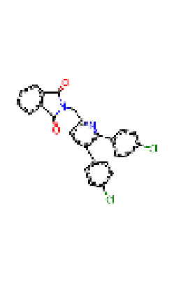 O=C1c2ccccc2C(=O)N1Cc1ccc(-c2ccc(Cl)cc2)c(-c2ccc(Cl)cc2)n1